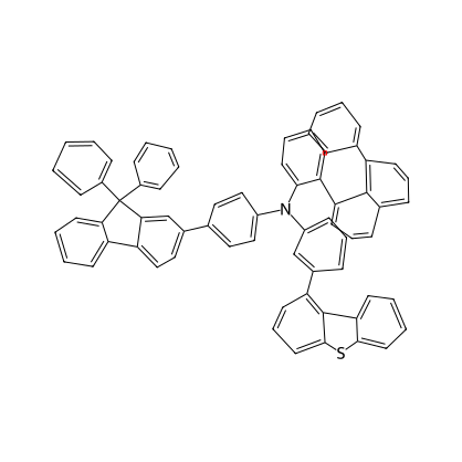 c1ccc(-c2cccc3cccc(-c4ccccc4N(c4ccc(-c5ccc6c(c5)C(c5ccccc5)(c5ccccc5)c5ccccc5-6)cc4)c4cccc(-c5cccc6sc7ccccc7c56)c4)c23)cc1